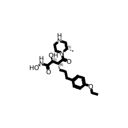 CCOc1ccc(CCC[C@@H](C(=O)N2CCNC[C@@H]2C)[C@H](O)C(=O)NO)cc1